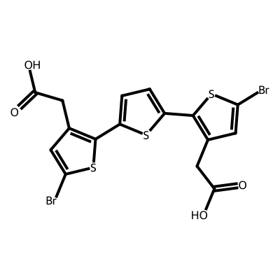 O=C(O)Cc1cc(Br)sc1-c1ccc(-c2sc(Br)cc2CC(=O)O)s1